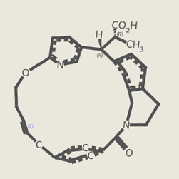 C[C@@H](C(=O)O)[C@H]1c2ccc(nc2)OCC/C=C/Cc2ccc(cc2)C(=O)N2CCc3ccc1cc3C2